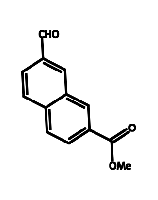 COC(=O)c1ccc2ccc(C=O)cc2c1